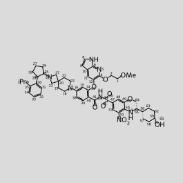 COCCOc1nc2[nH]ccc2cc1Oc1cc(N2CCC3(CC2)CN([C@@H]2CCC[C@@H]2c2ccccc2C(C)C)C3)ccc1C(=O)NS(=O)(=O)c1cc2c(c([N+](=O)[O-])c1)N[C@@H]([C@H]1CC[C@](C)(O)CC1)CO2